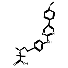 COc1ccc(-c2cnc(Nc3ccc(CCN(C)C(C)(C)C(=O)O)cc3)nc2)cc1